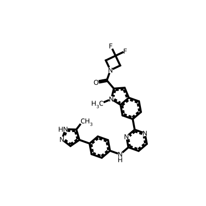 Cc1[nH]ncc1-c1ccc(Nc2ccnc(-c3ccc4cc(C(=O)N5CC(F)(F)C5)n(C)c4c3)n2)cc1